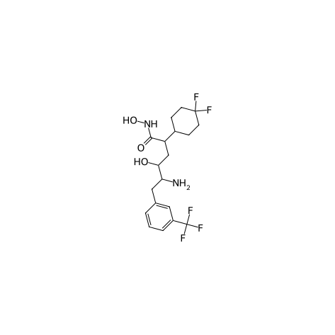 NC(Cc1cccc(C(F)(F)F)c1)C(O)CC(C(=O)NO)C1CCC(F)(F)CC1